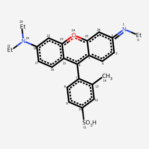 CC/N=c1\ccc2c(-c3ccc(S(=O)(=O)O)cc3C)c3ccc(N(CC)CC)cc3oc-2c1